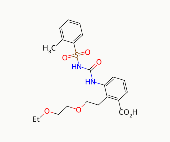 [CH2]COCCOCCc1c(NC(=O)NS(=O)(=O)c2ccccc2C)cccc1C(=O)O